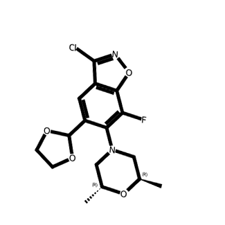 C[C@@H]1CN(c2c(C3OCCO3)cc3c(Cl)noc3c2F)C[C@@H](C)O1